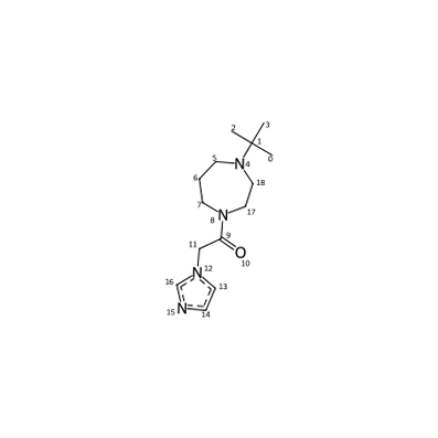 CC(C)(C)N1CCCN(C(=O)Cn2ccnc2)CC1